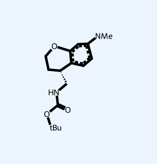 CNc1ccc2c(c1)OCC[C@H]2CNC(=O)OC(C)(C)C